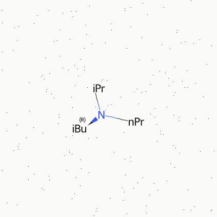 CCCN(C(C)C)[C@H](C)CC